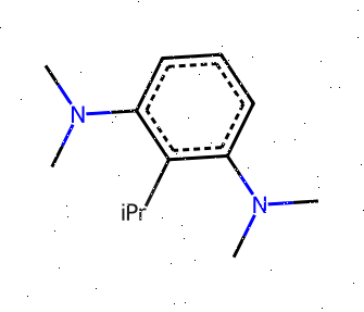 CC(C)c1c(N(C)C)cccc1N(C)C